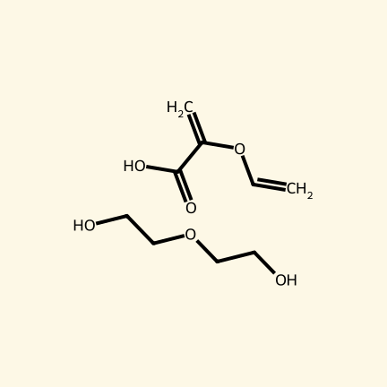 C=COC(=C)C(=O)O.OCCOCCO